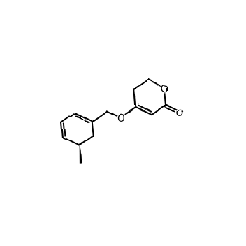 C[C@H]1C=CC=C(COC2=CC(=O)OCC2)C1